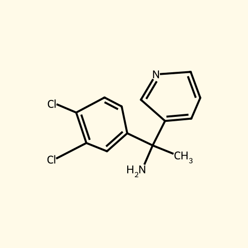 CC(N)(c1cccnc1)c1ccc(Cl)c(Cl)c1